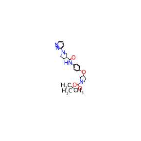 CC(C)(C)OC(=O)N1CC[C@H](Oc2ccc(NC(=O)[C@H]3CCN(c4cccnn4)C3)cc2)C1